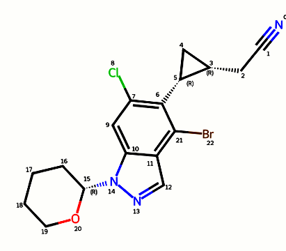 N#CC[C@H]1C[C@H]1c1c(Cl)cc2c(cnn2[C@H]2CCCCO2)c1Br